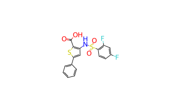 O=C(O)c1sc(-c2ccccc2)cc1NS(=O)(=O)c1ccc(F)cc1F